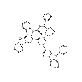 c1ccc(-c2nc(-n3c4ccccc4c4c5oc6ccccc6c5cc(-c5cccc(-c6ccc7c8ccccc8n(-c8ccccc8)c7c6)c5)c43)nc3ccccc23)cc1